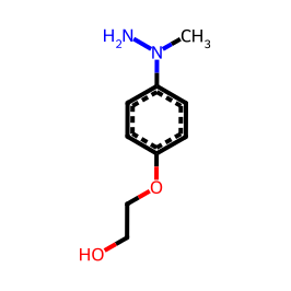 CN(N)c1ccc(OCCO)cc1